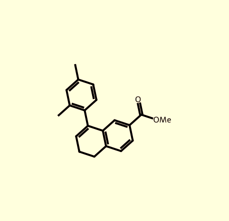 COC(=O)c1ccc2c(c1)C(c1ccc(C)cc1C)=CCC2